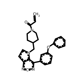 C=CC(=O)N1CCC(Cn2ccc3ncnc(-c4cccc(Oc5ccccc5)c4)c32)CC1